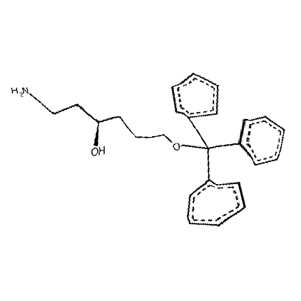 NCC[C@H](O)CCCOC(c1ccccc1)(c1ccccc1)c1ccccc1